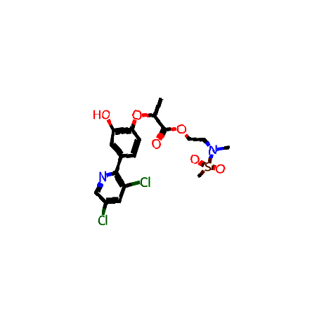 CC(Oc1ccc(-c2ncc(Cl)cc2Cl)cc1O)C(=O)OCCN(C)S(C)(=O)=O